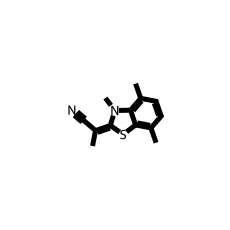 C/C(C#N)=C1\Sc2c(C)ccc(C)c2N1C